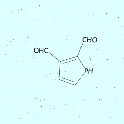 O=Cc1cc[pH]c1C=O